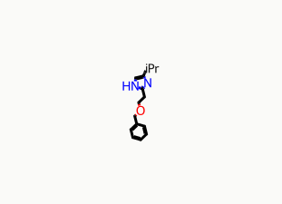 CC(C)c1c[nH]c(CCOCc2ccccc2)n1